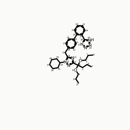 CCCOC(CCC)(OCCC)c1nc(Cc2ccc(-c3ccccc3-c3nnn[nH]3)cc2)n(C2CCCCC2)n1